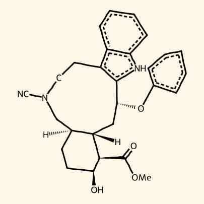 COC(=O)[C@@H]1[C@H]2C[C@@H](Oc3ccccc3)c3[nH]c4ccccc4c3CCN(C#N)C[C@@H]2CC[C@@H]1O